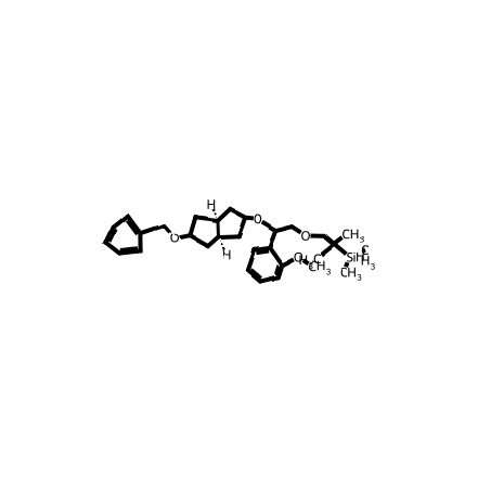 COc1ccccc1C(COCC(C)(C)[SiH](C)C)OC1C[C@H]2CC(OCc3ccccc3)C[C@H]2C1